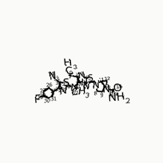 CCc1nc2sc(N3CC4CC3CN4C(N)=O)nn2c1N(C)c1nc(-c2ccc(F)cc2)c(C#N)s1